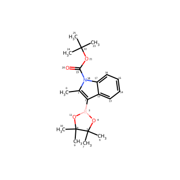 Cc1c(B2OC(C)(C)C(C)(C)O2)c2ccccc2n1C(=O)OC(C)(C)C